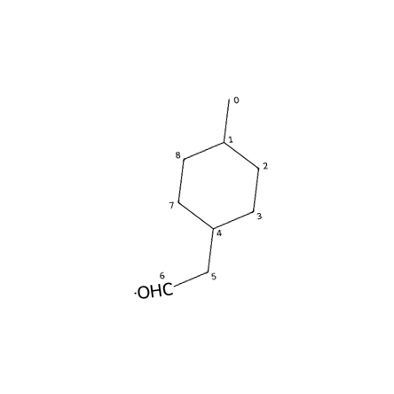 CC1CCC(C[C]=O)CC1